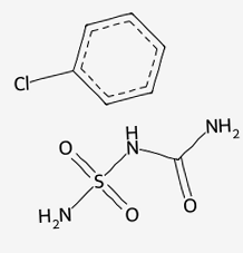 Clc1ccccc1.NC(=O)NS(N)(=O)=O